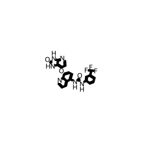 O=C(Nc1cccc(C(F)(F)F)c1)Nc1ccc(Oc2ccnc3[nH]c(=O)[nH]c23)c2ncccc12